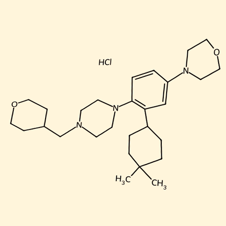 CC1(C)CCC(c2cc(N3CCOCC3)ccc2N2CCN(CC3CCOCC3)CC2)CC1.Cl